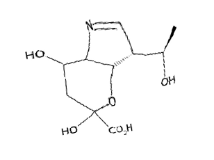 C[C@@H](O)[C@H]1C=NC2C(O)CC(O)(C(=O)O)OC21